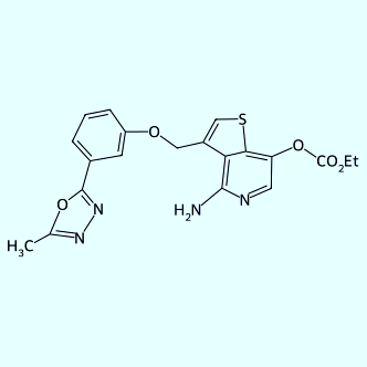 CCOC(=O)Oc1cnc(N)c2c(COc3cccc(-c4nnc(C)o4)c3)csc12